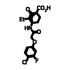 CCC1C(=O)C2(C(=O)O)CCC1(NC(=O)COc1ccc(Cl)c(F)c1)CC2